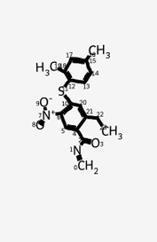 C=NC(=O)c1cc([N+](=O)[O-])c(Sc2ccc(C)cc2C)cc1CC